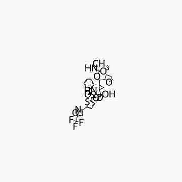 CNC(=O)O[C@@H](C1CCCO1)[C@@]1(c2ccccc2)C[C@]1(NS(=O)(=O)c1ccc(-c2cc(C(F)(F)F)on2)s1)C(=O)O